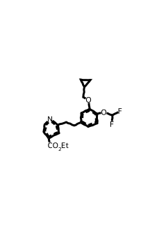 CCOC(=O)c1ccnc(CCc2ccc(OC(F)F)c(OCC3CC3)c2)c1